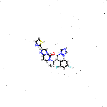 CC(C(Cn1cncn1)c1ccc(F)cc1F)n1ccc2nc(-c3nccs3)cn2c1=O